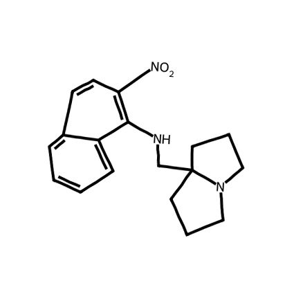 O=[N+]([O-])c1ccc2ccccc2c1NCC12CCCN1CCC2